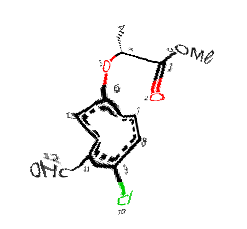 COC(=O)[C@@H](C)Oc1ccc(Cl)c(C=O)c1